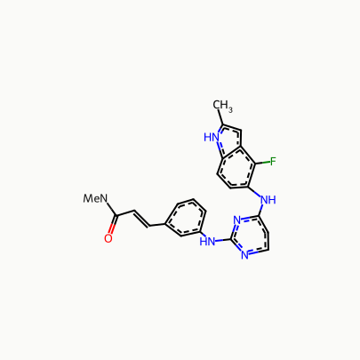 CNC(=O)C=Cc1cccc(Nc2nccc(Nc3ccc4[nH]c(C)cc4c3F)n2)c1